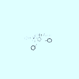 CCCCCCCCCO[C@@H]1[C@@H](N(C)C(=O)OC(C)(C)C)[C@H](OCc2ccccc2)C[C@@H]1OCc1ccccc1